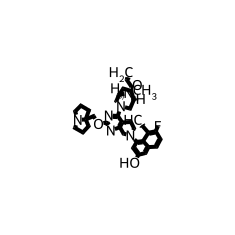 C#Cc1c(F)ccc2cc(O)cc(N3CCc4c(nc(OCC56CCCN5CCC6)nc4N4C[C@@H]5CC(C)[C@H](C4)N5C(=O)C=C)C3)c12